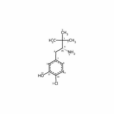 CC(C)(C)[C@H](N)Cc1cnc(Cl)c(O)c1